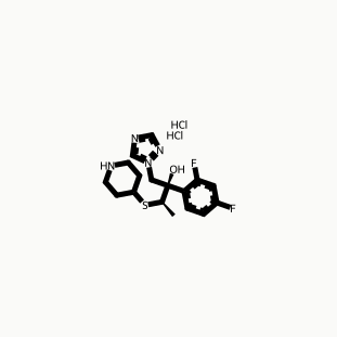 C[C@@H](SC1CCNCC1)[C@](O)(Cn1cncn1)c1ccc(F)cc1F.Cl.Cl